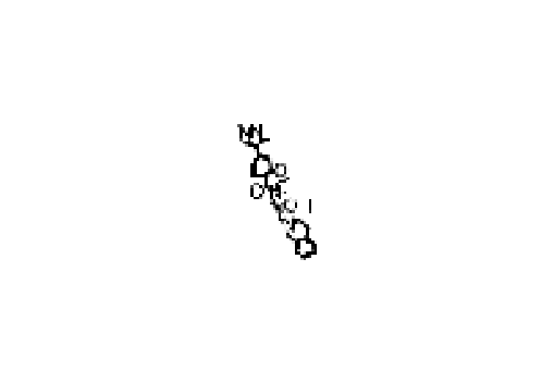 Cc1nn(C)cc1-c1ccc2c(c1)OCCN(C[C@H](O)CN1CCc3ccccc3C1)C2=O